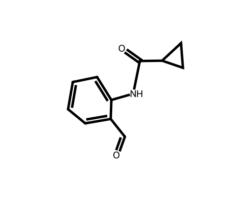 O=Cc1ccccc1NC(=O)C1CC1